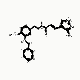 CCc1n[nH]cc1/C=C/C(=O)NCCc1ccc(OC)c(OCc2ccccc2)c1